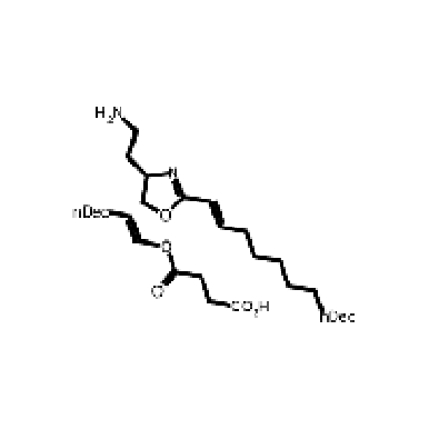 CCCCCCCCCCC=COC(=O)CCC(=O)O.CCCCCCCCCCCCCCCC=CC1=NC(CCN)CO1